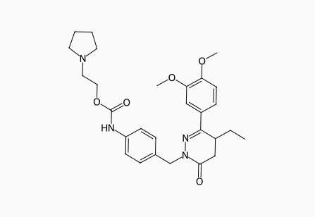 CCC1CC(=O)N(Cc2ccc(NC(=O)OCCN3CCCC3)cc2)N=C1c1ccc(OC)c(OC)c1